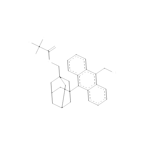 CCc1c2ccccc2c(C23CC4CC(CC(COC(=O)C(C)(F)F)(C4)C2)C3)c2ccccc12